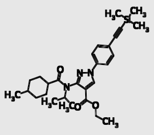 CCOC(=O)c1cn(-c2ccc(C#C[Si](C)(C)C)cc2)nc1N(C(=O)C1CCC(C)CC1)C(C)C